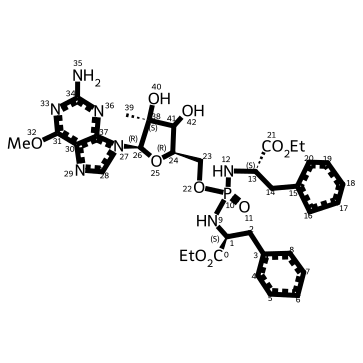 CCOC(=O)[C@H](Cc1ccccc1)NP(=O)(N[C@@H](Cc1ccccc1)C(=O)OCC)OC[C@H]1O[C@@H](n2cnc3c(OC)nc(N)nc32)[C@@](C)(O)C1O